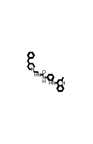 Cc1cc(Nc2cccc(NC(=O)NCCN3CCC(Cc4ccccc4)CC3)c2)c2ccccc2n1